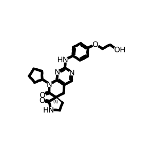 O=C1NCC[C@@]12Cc1cnc(Nc3ccc(OCCO)cc3)nc1N(C1CCCC1)C2=O